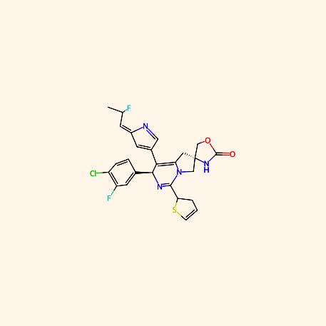 CC(F)/C=C1/C=C(C2=C3C[C@@]4(COC(=O)N4)CN3C(C3CC=CS3)=N[C@H]2c2ccc(Cl)c(F)c2)C=N1